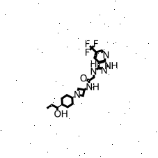 CCC(O)[C@H]1CC[C@H](N2CC(NC(=O)CNc3n[nH]c4ncc(C(F)(F)F)cc34)C2)CC1